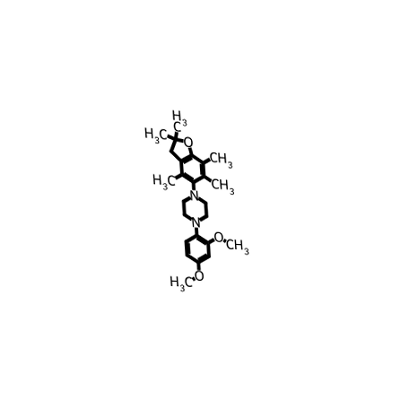 COc1ccc(N2CCN(c3c(C)c(C)c4c(c3C)CC(C)(C)O4)CC2)c(OC)c1